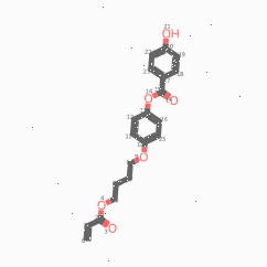 C=CC(=O)OCCCCOc1ccc(OC(=O)c2ccc(O)cc2)cc1